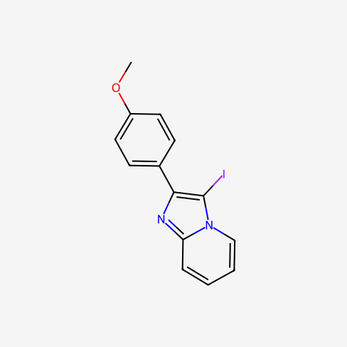 COc1ccc(-c2nc3ccccn3c2I)cc1